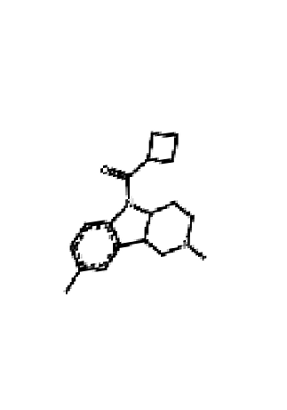 Cc1ccc2c(c1)C1CN(C)CCC1N2C(=O)C1CCC1